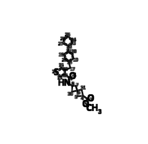 COC(=O)C1CC2(CC(NC(=O)c3cscc3Cc3ccc(-c4ccccc4)cc3)C2)C1